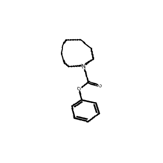 O=C(Oc1ccccc1)N1CCCCCC1